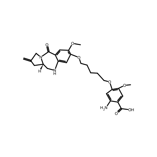 C=C1C[C@H]2CNc3cc(OCCCCCOc4cc(N)c(C(=O)O)cc4OC)c(OC)cc3C(=O)N2C1